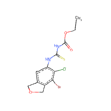 CCOC(=O)NC(=S)Nc1cc2c(c(Br)c1Cl)COC2